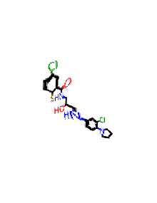 O=C(NCC(O)CNc1ccc(N2CCCC2)c(Cl)c1)C1=CC(Cl)=CCC1=S